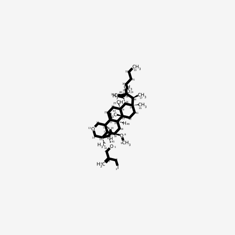 C=C(CI)CO[C@H]1[C@H](OC)C[C@@]23COC[C@@]1(C)[C@@H]2CC[C@H]1C3=CC[C@@]2(C)[C@H](C(=O)OCCCC)[C@@](C)([C@H](C)C(C)C)CC[C@]12C